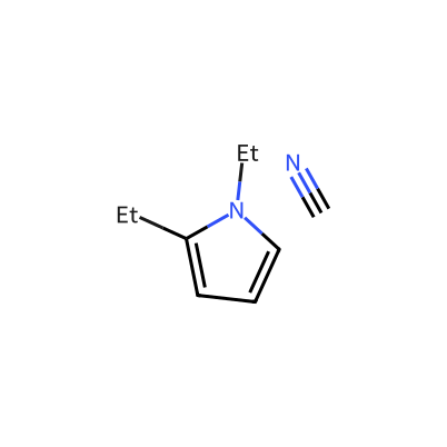 C#N.CCc1cccn1CC